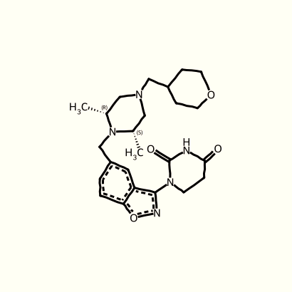 C[C@@H]1CN(CC2CCOCC2)C[C@H](C)N1Cc1ccc2onc(N3CCC(=O)NC3=O)c2c1